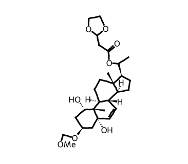 COCO[C@H]1C[C@H](O)[C@]2(C)[C@H]3CC[C@]4(C)[C@@H](C(C)OC(=O)CC5OCCO5)CC[C@H]4[C@@H]3C=C[C@@]2(O)C1